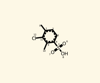 Cc1ccc(S(=O)(=O)O)c(C)c1Cl